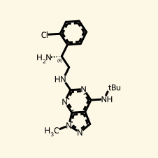 Cn1ncc2c(NC(C)(C)C)nc(NC[C@H](N)c3ccccc3Cl)nc21